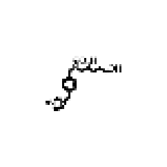 CN1C=CN(Cc2ccc(CN(CCCCCO)C(=O)O)cc2)C1